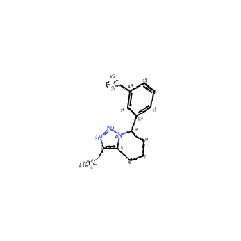 O=C(O)c1nnn2c1CCCC2c1cccc(C(F)(F)F)c1